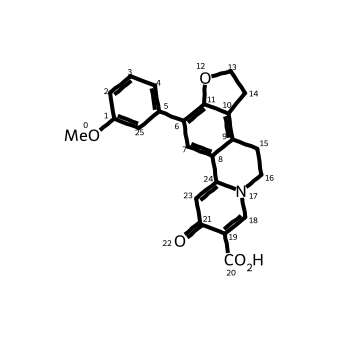 COc1cccc(-c2cc3c(c4c2OCC4)CCn2cc(C(=O)O)c(=O)cc2-3)c1